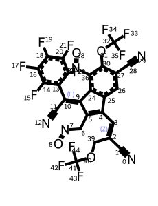 N#C/C(=C/C1=C(CN=O)C(=C(\C#N)c2c(F)c(F)c(F)c(F)c2F)/c2c1cc(C#N)c(OC(F)(F)F)c2N=O)COC(F)(F)F